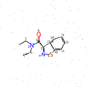 CCN(CC)C(=O)c1nsc2c[c]ccc12